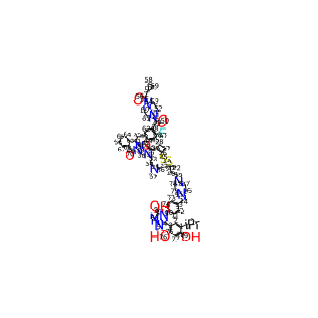 CC(C)c1cc(-c2nnc(O)n2-c2ccc(CN3CCN(CCC(C)(C)SSC4CCC4C(=O)N(CCN(C)C)Cn4nc(Cc5ccc(F)c(C(=O)N6CCN(C(=O)C7CC7)CC6)c5)c5ccccc5c4=O)CC3)cc2)c(O)cc1O